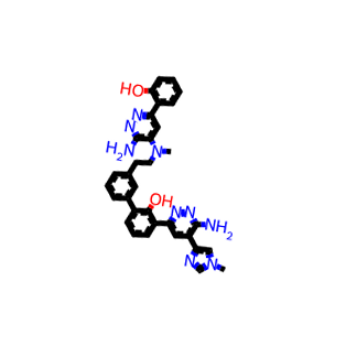 CN(CCc1cccc(-c2cccc(-c3cc(-c4cn(C)cn4)c(N)nn3)c2O)c1)c1cc(-c2ccccc2O)nnc1N